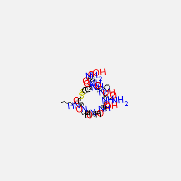 CCCCCC(=O)N[C@H]1CCSSCC[C@@H](C(=O)N[C@@H](CC(=O)O)C(N)=O)NC(=O)[C@H](Cc2ccccc2)NC(O)[C@H](CCC(N)=O)NC(=O)[C@H]([C@@H](C)O)NC(=O)[C@@H]2CCCN2C(=O)[C@@H]2CCCN2C1=O